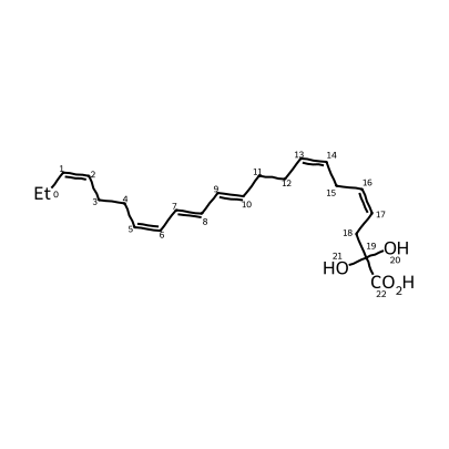 CC/C=C\CC\C=C/C=C/C=C/CC/C=C\C/C=C\CC(O)(O)C(=O)O